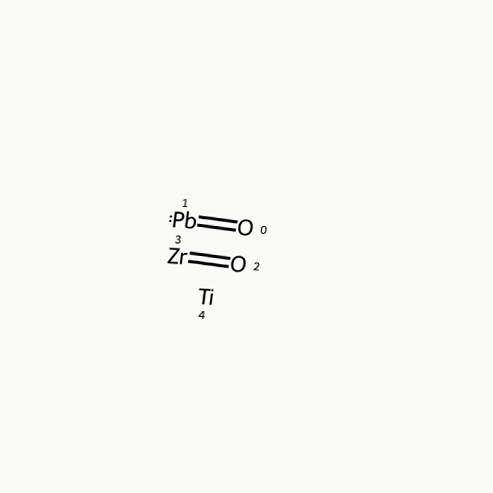 [O]=[Pb].[O]=[Zr].[Ti]